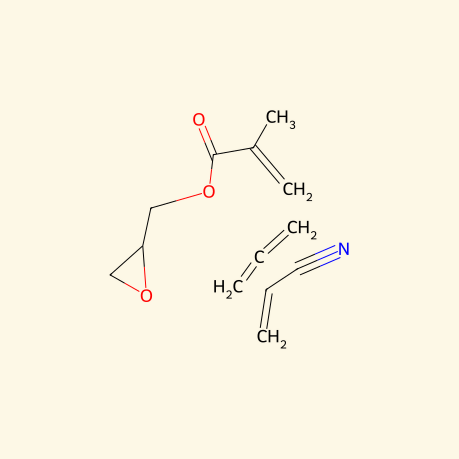 C=C(C)C(=O)OCC1CO1.C=C=C.C=CC#N